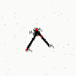 CCCCCCCCC=CCCCCCCCC(=O)O[C@@H]1C[N+](C)(C)C[C@H]1OC(=O)CCCCCCCC=CCCCCCCCC.[Cl-]